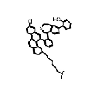 CN(C)CCCCCCC1CC=c2ccc3c(c2C1)C(c1ccccc1C1C=NC=Cc2cc(-c4ccccc4O)ccc21)C=c1cc(Cl)ccc1=3